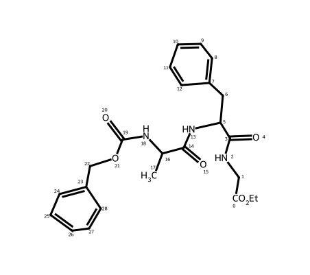 CCOC(=O)CNC(=O)C(Cc1ccccc1)NC(=O)C(C)NC(=O)OCc1ccccc1